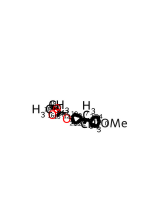 COc1ccc(C(C)(C)c2ccc(OC[C@H]3COC(C)(C)O3)cc2)cc1